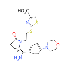 NC(c1ccc(N2CCOCC2)cc1)[C@H]1CCC(=O)N1CCSc1nc(C(=O)O)cs1